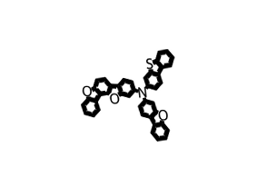 c1ccc2c(c1)oc1cc(N(c3ccc4c(c3)oc3c4ccc4oc5ccccc5c43)c3ccc4c(c3)sc3ccccc34)ccc12